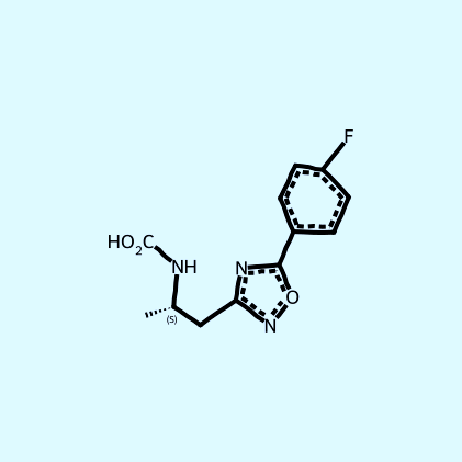 C[C@@H](Cc1noc(-c2ccc(F)cc2)n1)NC(=O)O